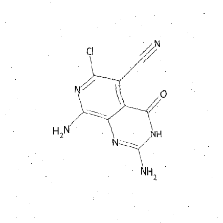 N#Cc1c(Cl)nc(N)c2nc(N)[nH]c(=O)c12